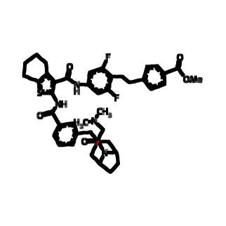 COC(=O)c1ccc(CCc2c(F)cc(NC(=O)c3c(NC(=O)c4cccc(CN5CC6CCC(C5)N6C(=O)CN(C)C)c4)sc4c3CCCC4)cc2F)cc1